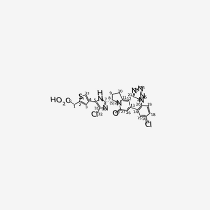 O=C(O)Cc1cc(-c2[nH]c([C@@H]3CCc4cc(-c5cc(Cl)ccc5-n5cnnn5)cc(=O)n43)nc2Cl)cs1